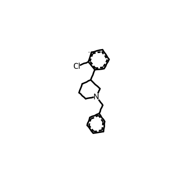 Clc1[c]cccc1C1CCCN(Cc2ccccc2)C1